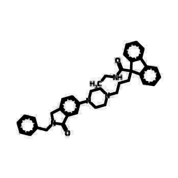 CCNC(=O)C1(CCCN2CCN(c3ccc4c(c3)C(=O)N(Cc3ccccc3)C4)CC2)c2ccccc2-c2ccccc21